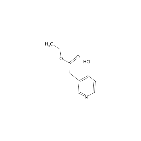 CCOC(=O)Cc1cccnc1.Cl